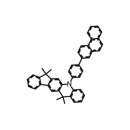 CC1(C)c2ccccc2-c2cc3c(cc21)N(c1ccc(-c2ccc4c(ccc5ccccc54)c2)cc1)c1ccccc1C3(C)C